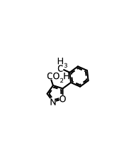 Cc1ccccc1-c1oncc1C(=O)O